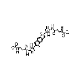 COC(=O)NCCC(=O)Pc1ncc(-c2cc3cc4sc(-c5cnc(PC(=O)CCNC(=O)OC)[nH]5)cc4cc3s2)[nH]1